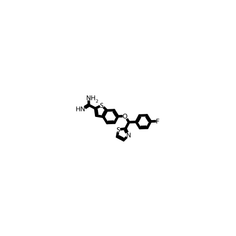 N=C(N)c1cc2ccc(OC(c3ccc(F)cc3)c3nccs3)cc2s1